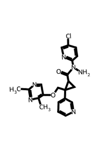 Cc1ncc(OCC2(c3cccnc3)CC2C(=O)N(N)c2ccc(Cl)cn2)c(C)n1